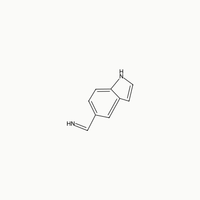 N=Cc1ccc2[nH]ccc2c1